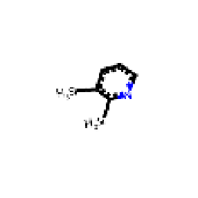 [SiH3]c1cccnc1[SiH3]